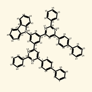 c1ccc(-c2ccc(-c3cc(-c4cc(-c5cc(-c6ccc(-c7ccccc7)cc6)nc(-c6ccccc6)n5)cc(-n5c6ccccc6c6ccccc65)c4)nc(-c4ccccc4)n3)cc2)cc1